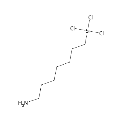 NCCCCCCC[Si](Cl)(Cl)Cl